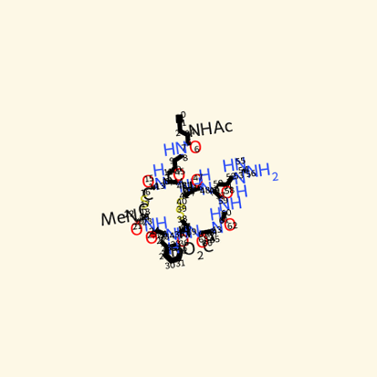 C#CCC(NC(C)=O)C(=O)NCCCC[C@@H]1NC(=O)CSC[C@@H](C(=O)NC)NC(=O)[C@H](Cc2ccccc2)NC(=O)[C@@H]2CSSC[C@H](NC1=O)C(=O)N[C@@H](CCCNC(=N)N)C(=O)NCC(=O)N[C@@H](CC(=O)O)C(=O)N2